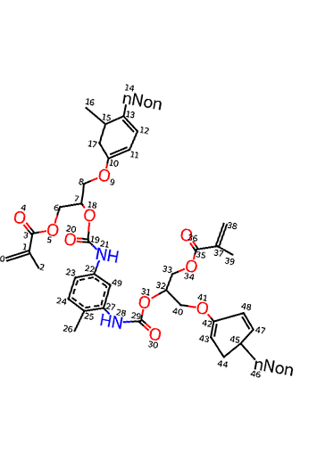 C=C(C)C(=O)OCC(COC1=CC=C(CCCCCCCCC)C(C)C1)OC(=O)Nc1ccc(C)c(NC(=O)OC(COC(=O)C(=C)C)COC2=CCC(CCCCCCCCC)C=C2)c1